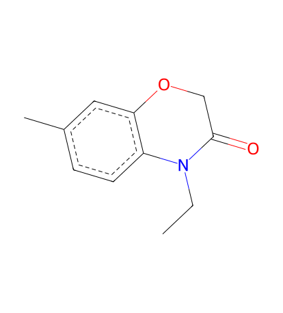 CCN1C(=O)COc2cc(C)ccc21